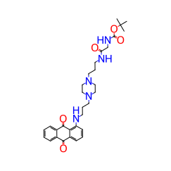 CC(C)(C)OC(=O)NCC(=O)NCCCN1CCN(CCCNc2cccc3c2C(=O)c2ccccc2C3=O)CC1